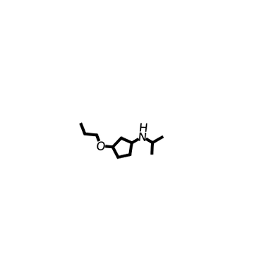 CCCOC1CCC(NC(C)C)C1